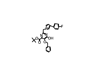 CC(C)(C)OC(=O)c1nc(Cn2ccc(-c3ccc(F)cc3)c2)nc(O)c1OCc1ccccc1